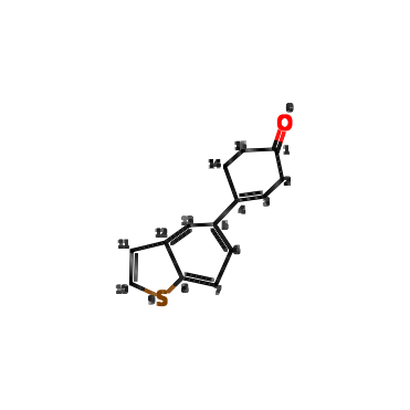 O=C1CC=C(c2ccc3sccc3c2)CC1